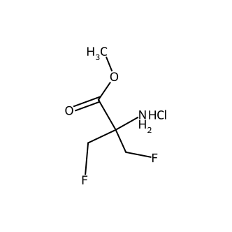 COC(=O)C(N)(CF)CF.Cl